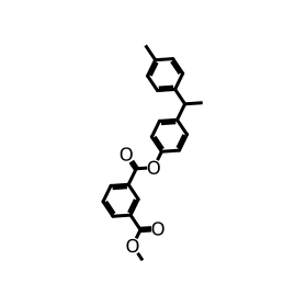 COC(=O)c1cccc(C(=O)Oc2ccc(C(C)c3ccc(C)cc3)cc2)c1